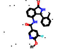 Cc1ccccc1C1NC(=O)c2cccc(NC(=O)c3cnc(OC(C)C)c(F)c3)c21